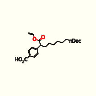 C=COC(=O)C(CCCCCCCCCCCCCCCC)c1ccc(C(=O)O)cc1